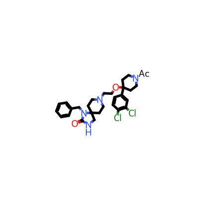 CC(=O)N1CCC(OCCN2CCC3(CC2)CNC(=O)N3Cc2ccccc2)(c2ccc(Cl)c(Cl)c2)CC1